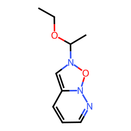 CCOC(C)N1C=C2C=CC=NN2O1